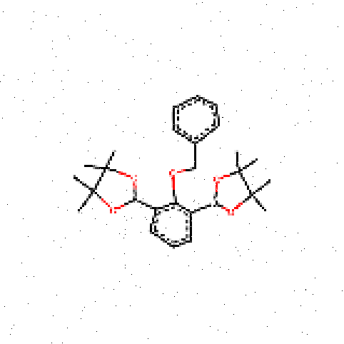 CC1(C)OB(c2cccc(B3OC(C)(C)C(C)(C)O3)c2OCc2ccccc2)OC1(C)C